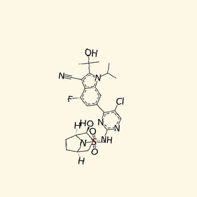 CC(C)n1c(C(C)(C)O)c(C#N)c2c(F)cc(-c3nc(N[C@@H]4C[C@H]5CC[C@@H]([C@H]4O)N5S(C)(=O)=O)ncc3Cl)cc21